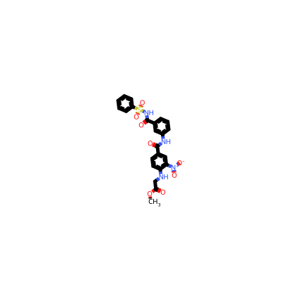 COC(=O)CNc1ccc(C(=O)Nc2cccc(C(=O)NS(=O)(=O)c3ccccc3)c2)cc1[N+](=O)[O-]